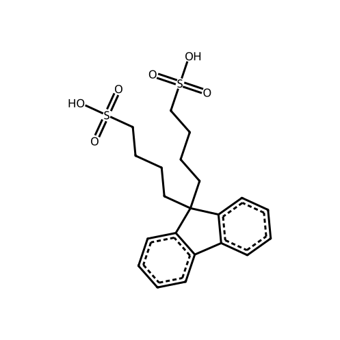 O=S(=O)(O)CCCCC1(CCCCS(=O)(=O)O)c2ccccc2-c2ccccc21